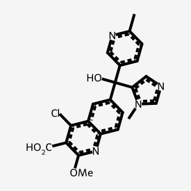 COc1nc2ccc(C(O)(c3ccc(C)nc3)c3cncn3C)cc2c(Cl)c1C(=O)O